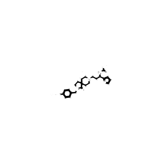 COc1ccc(CN2CCC3(CCN(CCC(NC(=O)C(C)C)c4cccs4)CC3)C2=O)cc1.Cl